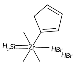 Br.Br.[CH3][Zr]([CH3])([CH3])([CH3])(=[SiH2])[C]1=CC=CC1